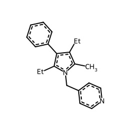 CCc1c(-c2ccccc2)c(CC)n(Cc2ccncc2)c1C